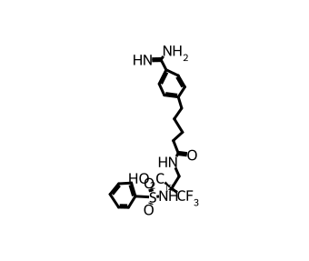 N=C(N)c1ccc(CCCCC(=O)NC[C@](NS(=O)(=O)c2ccccc2)(C(=O)O)C(F)(F)F)cc1